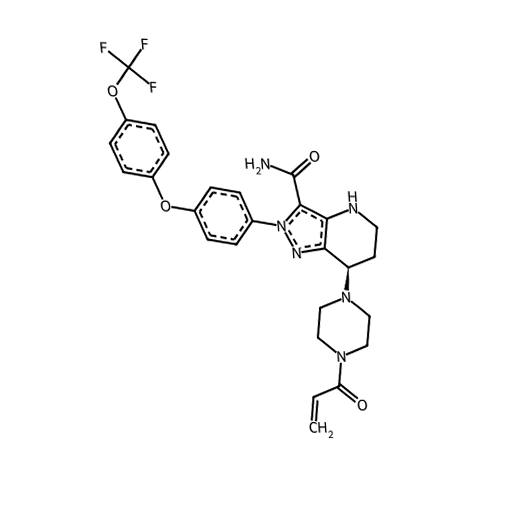 C=CC(=O)N1CCN([C@@H]2CCNc3c2nn(-c2ccc(Oc4ccc(OC(F)(F)F)cc4)cc2)c3C(N)=O)CC1